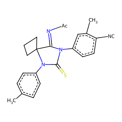 [C-]#[N+]c1ccc(N2C(=S)N(c3ccc(C)cc3)C3(CCC3)C2=NC(C)=O)cc1C